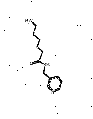 NCCCCCC(=O)NCc1cccnc1